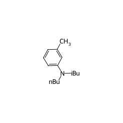 CCCCN(c1cccc(C)c1)C(C)CC